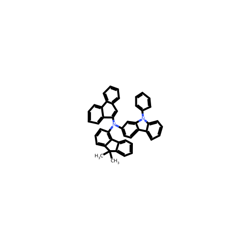 CC1(C)c2ccccc2-c2c(N(c3ccc4c5ccccc5n(-c5ccccc5)c4c3)c3cc4ccccc4c4ccccc34)cccc21